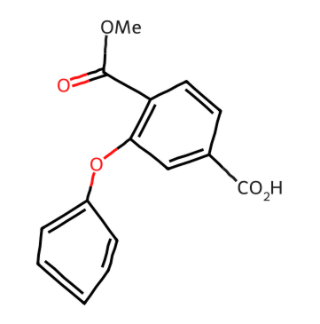 COC(=O)c1ccc(C(=O)O)cc1Oc1ccccc1